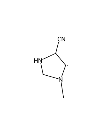 CN1[CH]C(C#N)NC1